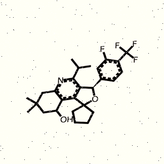 CC(C)c1nc2c(c3c1[C@@H](c1ccc(C(F)(F)F)c(F)c1)OC31CCCC1)C(O)CC(C)(C)C2